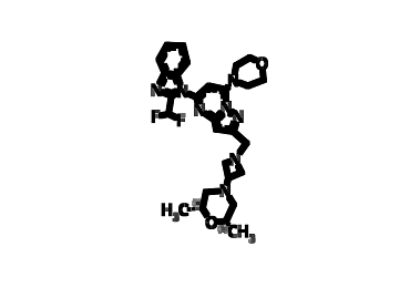 C[C@@H]1CN(C2CN(Cc3cc4nc(-n5c(C(F)F)nc6ccccc65)cc(N5CCOCC5)n4n3)C2)C[C@H](C)O1